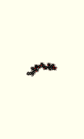 c1ccc2cc3c(cc2c1)sc1ccc(-c2c4ccccc4c(-c4cccc5c4oc4ccc(-c6cccc7cc8c(cc67)sc6ccc(-c7c9ccccc9c(-c9cccc%10c9sc9ccccc9%10)c9ccccc79)cc68)cc45)c4ccccc24)cc13